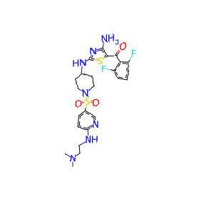 CN(C)CCNc1ccc(S(=O)(=O)N2CCC(Nc3nc(N)c(C(=O)c4c(F)cccc4F)s3)CC2)cn1